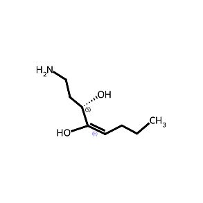 CCC/C=C(/O)[C@@H](O)CCN